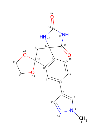 Cn1cc(-c2ccc3c(c2)C2(CC34NC(=O)NC4=O)OCCO2)cn1